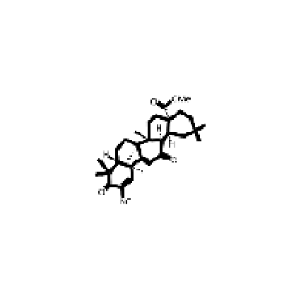 [C-]#[N+]C1=C[C@]2(C)C3=CC(=O)[C@@H]4[C@@H]5CC(C)(C)CC[C@]5(C(=O)OC)CC[C@@]4(C)[C@]3(C)CC[C@H]2C(C)(C)C1=O